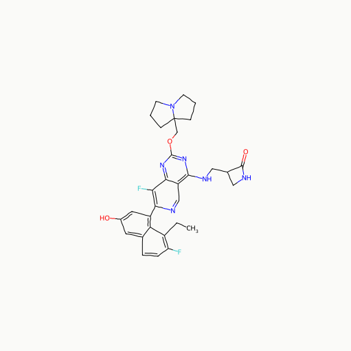 CCc1c(F)ccc2cc(O)cc(-c3ncc4c(NCC5CNC5=O)nc(OCC56CCCN5CCC6)nc4c3F)c12